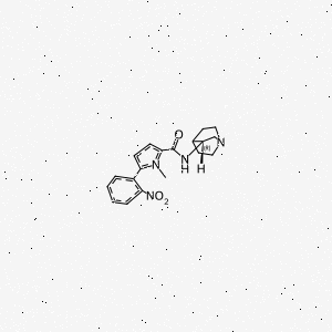 Cn1c(C(=O)N[C@H]2CN3CCC2CC3)ccc1-c1ccccc1[N+](=O)[O-]